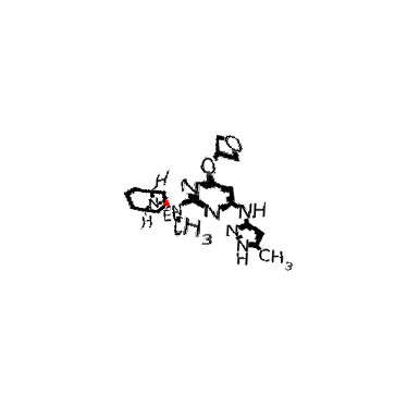 CCSN1[C@@H]2CCC[C@H]1C[C@H](N(C)c1nc(Nc3cc(C)[nH]n3)cc(OC3COC3)n1)C2